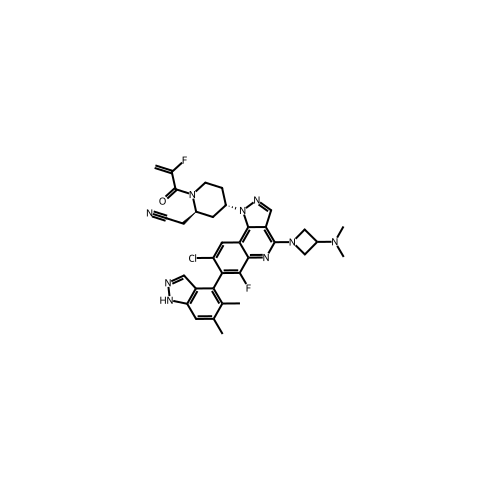 C=C(F)C(=O)N1CC[C@H](n2ncc3c(N4CC(N(C)C)C4)nc4c(F)c(-c5c(C)c(C)cc6[nH]ncc56)c(Cl)cc4c32)C[C@H]1CC#N